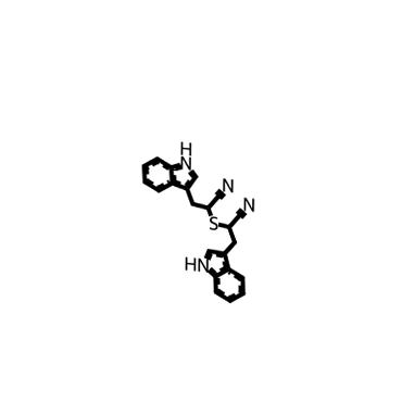 N#CC(Cc1c[nH]c2ccccc12)SC(C#N)Cc1c[nH]c2ccccc12